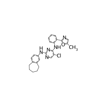 Cc1cnc(-c2ccccc2Nc2nc(Nc3ccc4c(c3)CCCCC4)ncc2Cl)o1